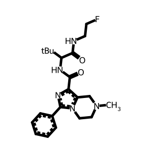 CN1CCn2c(-c3ccccc3)nc(C(=O)NC(C(=O)NCCF)C(C)(C)C)c2C1